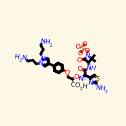 CC1(C)C(NC(=O)/C(=N\O[C@@H](COc2ccc(-c3cn(CCCN)[n+](CCCN)c3)cc2)C(=O)O)c2csc(N)n2)C(=O)N1OS(=O)(=O)[O-]